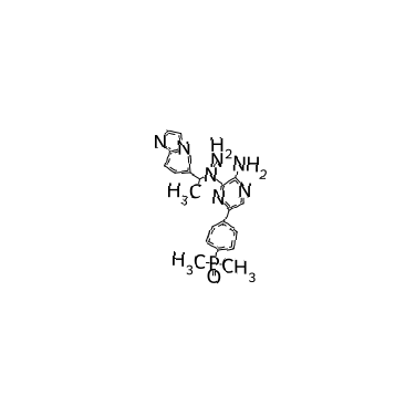 CC(c1ccc2nccn2c1)N(N)c1nc(-c2ccc(P(C)(C)=O)cc2)cnc1N